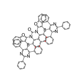 O=C1N2c3oc4ccccc4c3B(c3c(-c4ccccc4)nc(-c4ccccc4)nc3-c3ccccc3)c3ccc4ccc5c(c4c32)N1c1oc2ccccc2c1B5c1c(-c2ccccc2)nc(-c2ccccc2)nc1-c1ccccc1